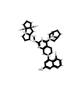 Oc1cc(N2CCc3c(nc(OC[C@]45CCCN4[C@@H]4CCC[C@@H]4C5)nc3N3CC4CCC(C3)N4)C2)c2c(F)cccc2c1